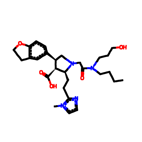 CCCCN(CCCO)C(=O)CN1C[C@H](c2ccc3c(c2)CCO3)[C@@H](C(=O)O)[C@@H]1CCc1nccn1C